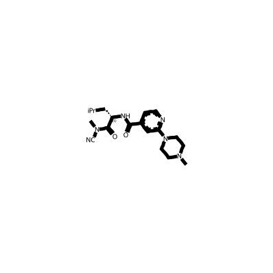 CC(C)C[C@H](NC(=O)c1ccnc(N2CCN(C)CC2)c1)C(=O)N(C)C#N